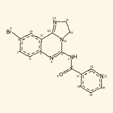 O=C(NC1=Nc2ccc(Br)cc2C2=NCCN12)c1cccnc1